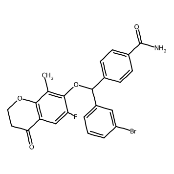 Cc1c(OC(c2ccc(C(N)=O)cc2)c2cccc(Br)c2)c(F)cc2c1OCCC2=O